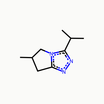 CC1Cc2nnc(C(C)C)n2C1